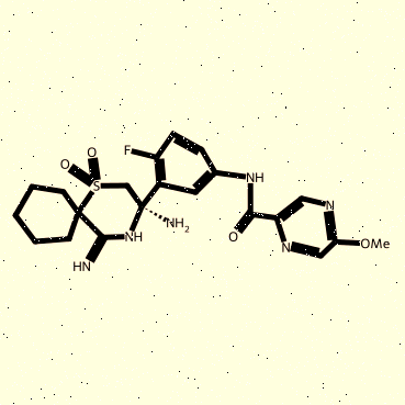 COc1cnc(C(=O)Nc2ccc(F)c([C@]3(N)CS(=O)(=O)C4(CCCCC4)C(=N)N3)c2)cn1